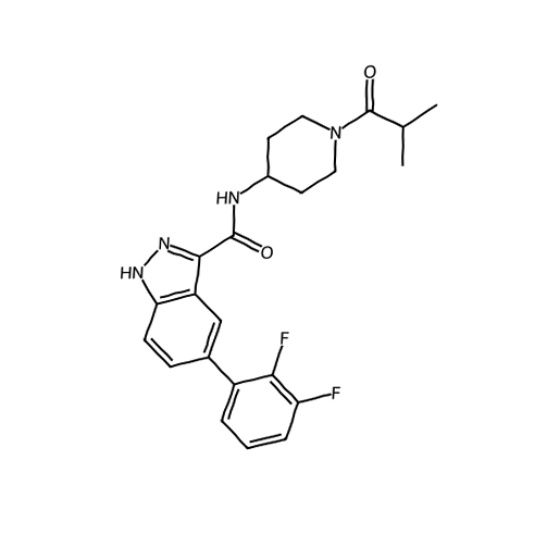 CC(C)C(=O)N1CCC(NC(=O)c2n[nH]c3ccc(-c4cccc(F)c4F)cc23)CC1